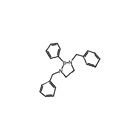 c1ccc(CN2CCN(Cc3ccccc3)B2c2ccccc2)cc1